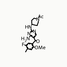 COc1cc(C)c(F)cc1C(=O)c1cnc(NC2CCN(C(C)=O)CC2)nc1N